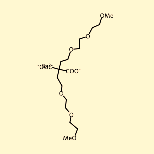 COCCOCCOCCC(CCOCCOCCOC)(C(=O)[O-])C(=O)[O-].[Ba+2]